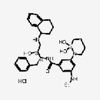 CCNc1cc(C(=O)N[C@@H](Cc2ccccc2)[C@@H](O)CNC2CCCc3ccccc32)cc(N2CCCCS2(O)O)c1.Cl